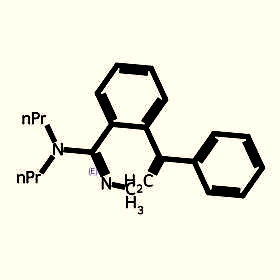 C=C(c1ccccc1)c1ccccc1/C(=N\C)N(CCC)CCC